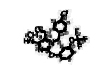 CNc1nc(Oc2cccc(OC(F)(F)F)c2)n(Cc2ccc(Cl)cc2)c1C=O